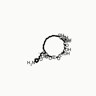 C[C@H](C[C@H](C)[C@@H]1OC(=O)CC(=O)CCCC(=O)CCC[C@@H](O)C[C@@H](O)CC(=O)C[C@H](O)[C@H](C(=O)O)[C@@H](O)C[C@H](O)/C=C/C=C/C=C/C=C/C=C/C=C/C=C/[C@@H]1C)[C@H](O)CC(=O)c1ccc(N)cc1